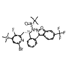 CC(C)(C)[S@+]([O-])N[C@@H](Cc1nc(Br)cc([Si](C)(C)C)c1F)c1ccccc1-c1noc2cc(C(F)(F)F)ccc12